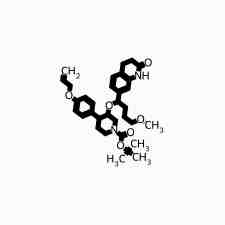 C=CCOc1ccc(C2CCN(C(=O)OC(C)(C)C)CC2OC(CCCOC)c2ccc3c(c2)NC(=O)CC3)cc1